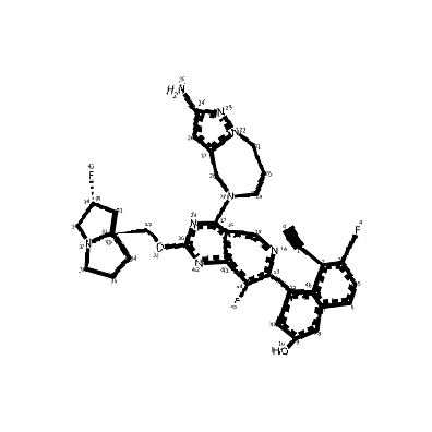 C#Cc1c(F)ccc2cc(O)cc(-c3ncc4c(N5CCCn6nc(N)cc6C5)nc(OC[C@@]56CCCN5C[C@H](F)C6)nc4c3F)c12